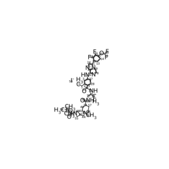 CCc1cc(Nc2nccn3c(-c4ccc(OC(F)F)c(F)c4F)cnc23)ccc1C(=O)NC(C)CNC(=O)C1CC[N+](C)(CC2CN(C(=O)OC(C)(C)C)C2)CC1.[I-]